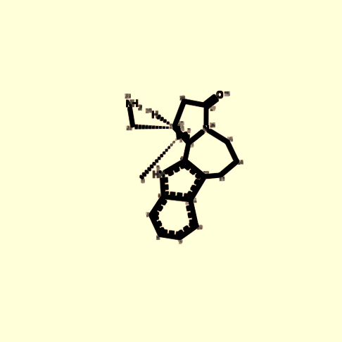 C[C@H]1C[C@@]23c4[nH]c5ccccc5c4CCCN2C(=O)C[C@H]3[C@@H]1CN